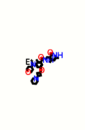 CCN(c1cc(OC2CC(N3CCCCC3)C2)cc(C(=O)NCc2c(C)cc(C)[nH]c2=O)c1C)C1CCOCC1